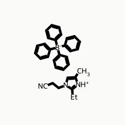 CCc1[nH+]c(C)cn1CCC#N.c1ccc([B-](c2ccccc2)(c2ccccc2)c2ccccc2)cc1